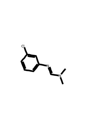 CN(C)/C=N/c1cccc(Cl)c1